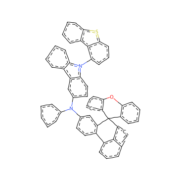 c1ccc(N(c2ccc3c(c2)C2(c4ccccc4Oc4ccccc42)c2cccc4cccc-3c24)c2ccc3c(c2)c2ccccc2n3-c2cccc3sc4ccccc4c23)cc1